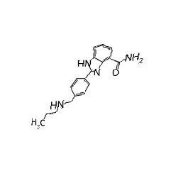 CCCNCc1ccc(-c2nc3c(C(N)=O)cccc3[nH]2)cc1